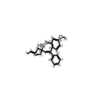 C/C=C/CC1(CC)C=C(c2ccccc2)c2ccc(OC)cc2SN1